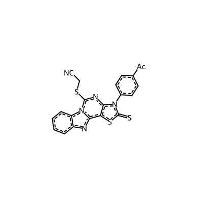 CC(=O)c1ccc(-n2c(=S)sc3c2nc(SCC#N)n2c4ccccc4nc32)cc1